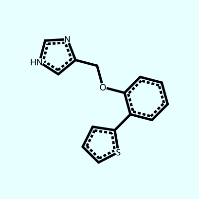 c1csc(-c2ccccc2OCc2c[nH]cn2)c1